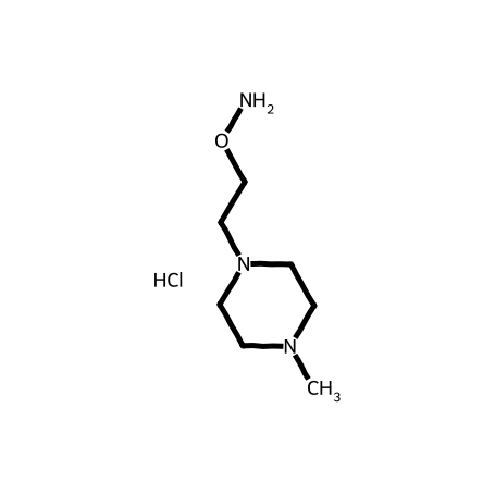 CN1CCN(CCON)CC1.Cl